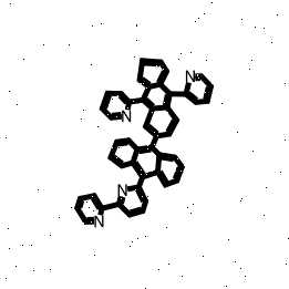 c1ccc(-c2cccc(-c3c4ccccc4c(-c4ccc5c(-c6ccccn6)c6ccccc6c(-c6ccccn6)c5c4)c4ccccc34)n2)nc1